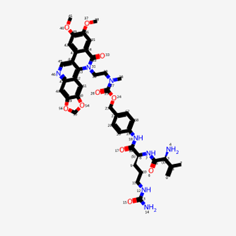 C=C(C)[C@H](N)C(=O)N[C@@H](CCCNC(N)=O)C(=O)Nc1ccc(COC(=O)N(C)CCn2c(=O)c3cc(OC)c(OC)cc3c3cnc4cc5c(cc4c32)OCO5)cc1